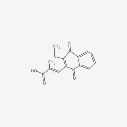 CSC1=C(/C=C(\C)C(=O)O)C(=O)c2ccccc2C1=O